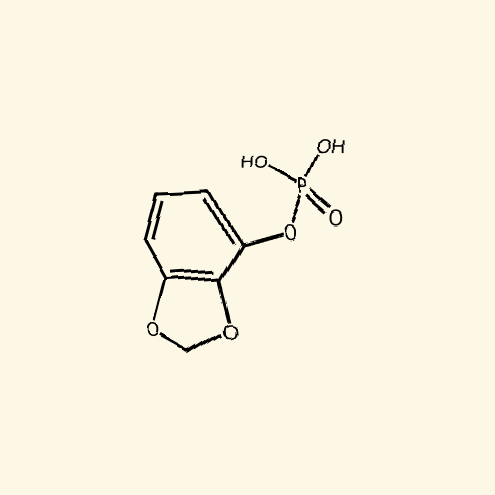 O=P(O)(O)Oc1cccc2c1OCO2